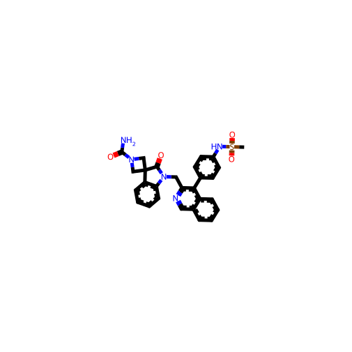 CS(=O)(=O)Nc1ccc(-c2c(CN3C(=O)C4(CN(C(N)=O)C4)c4ccccc43)ncc3ccccc23)cc1